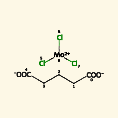 O=C([O-])CCCC(=O)[O-].[Cl][Mo+2]([Cl])[Cl]